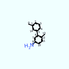 Cc1cccc(-c2cc(N)ccc2C)c1